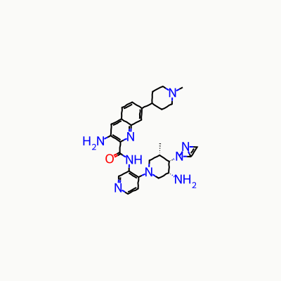 C[C@H]1CN(c2ccncc2NC(=O)c2nc3cc(C4CCN(C)CC4)ccc3cc2N)C[C@@H](N)[C@H]1n1c2cn1-2